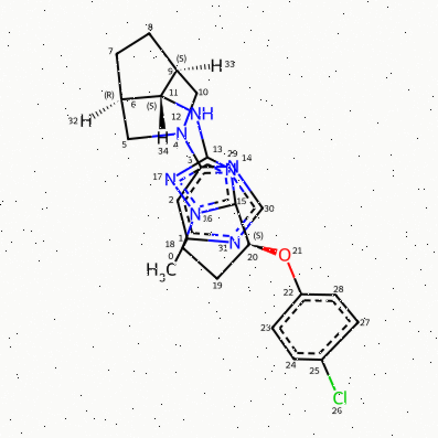 Cc1cc(N2C[C@H]3CC[C@@H](C2)[C@@H]3Nc2nc3n(n2)CC[C@@H]3Oc2ccc(Cl)cc2)ncn1